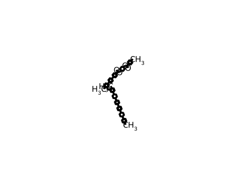 Cc1ccc(C(=O)OC2CCC(OC(=O)c3ccc(-c4ccc(-c5ccc(C)c(Cc6cc(C7CCC(c8ccc(-c9ccc(C%10CCC(c%11ccc(C)cc%11)CC%10)cc9)cc8)CC7)ccc6C)c5)cc4)cc3)CC2)cc1